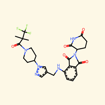 CC(C)(C(=O)N1CCC(n2cc(CNc3cccc4c3C(=O)N(C3CCC(=O)NC3=O)C4=O)cn2)CC1)C(F)(F)F